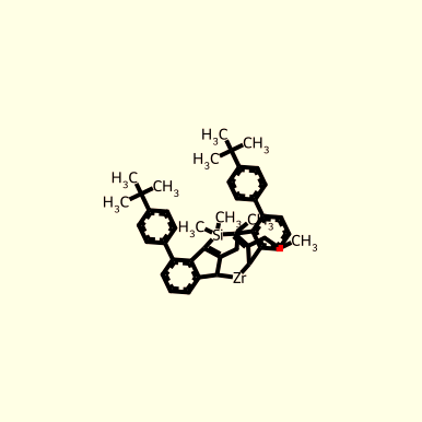 CCCC1=C2c3c(-c4ccc(C(C)(C)C)cc4)cccc3[CH]1[Zr][CH]1C(CCC)=C(c3c(-c4ccc(C(C)(C)C)cc4)cccc31)[Si]2(C)C